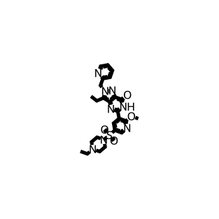 CCc1c2nc(-c3cc(S(=O)(=O)N4CCN(CC)CC4)cnc3OC)[nH]c(=O)c2nn1Cc1ccccn1